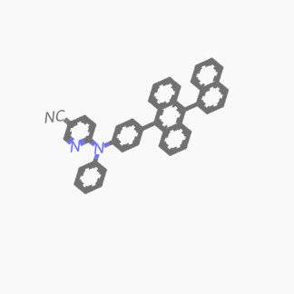 N#Cc1ccc(N(c2ccccc2)c2ccc(-c3c4ccccc4c(-c4cccc5ccccc45)c4ccccc34)cc2)nc1